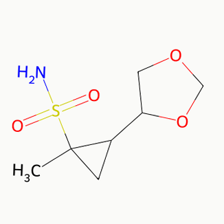 CC1(S(N)(=O)=O)CC1C1COCO1